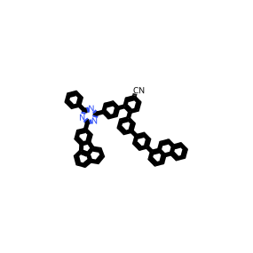 N#Cc1ccc(-c2cccc(-c3ccc(-c4cccc5c4ccc4ccccc45)cc3)c2)c(-c2ccc(-c3nc(-c4ccccc4)nc(-c4ccc5c(c4)-c4cccc6cccc-5c46)n3)cc2)c1